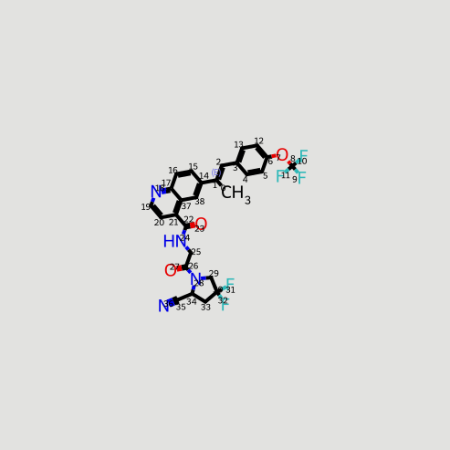 C/C(=C\c1ccc(OC(F)(F)F)cc1)c1ccc2nccc(C(=O)NCC(=O)N3CC(F)(F)CC3C#N)c2c1